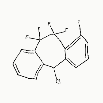 Fc1cccc2c1C(F)(F)C(F)(F)c1ccccc1C2Cl